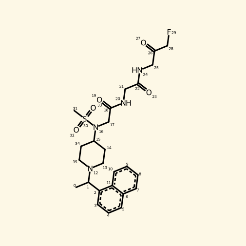 CC(c1cccc2ccccc12)N1CCC(N(CC(=O)NCC(=O)NCC(=O)CF)S(C)(=O)=O)CC1